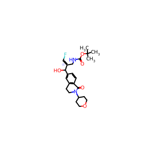 CC(C)(C)OC(=O)NC/C(=C\F)C(O)c1ccc2c(c1)CCN(C1CCOCC1)C2=O